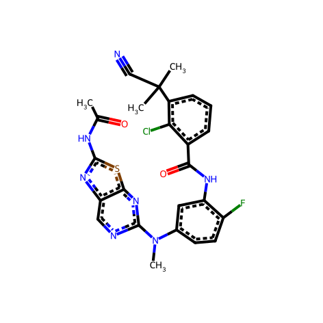 CC(=O)Nc1nc2cnc(N(C)c3ccc(F)c(NC(=O)c4cccc(C(C)(C)C#N)c4Cl)c3)nc2s1